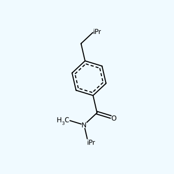 CC(C)Cc1ccc(C(=O)N(C)C(C)C)cc1